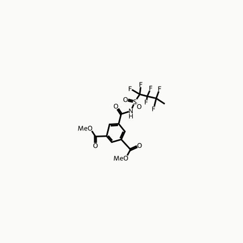 COC(=O)c1cc(C(=O)NS(=O)(=O)C(F)(F)C(F)(F)C(C)(F)F)cc(C(=O)OC)c1